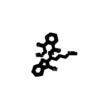 CNCCCC(NC(=O)c1ccccc1C(=O)OC(C)(C)C)c1nc2ccccc2n1C(C)C